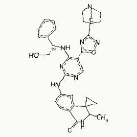 CC1NC(=O)c2ccc(Nc3ncc(-c4nc(C56CCN(CC5)CC6)no4)c(N[C@H](CO)c4ccccc4)n3)cc2C12CC2